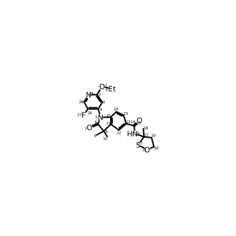 CCOc1cc(N2C(=O)C(C)(C)c3cc(C(=O)NC4(C)CCOS4)ccc32)c(F)cn1